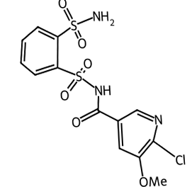 COc1cc(C(=O)NS(=O)(=O)c2ccccc2S(N)(=O)=O)cnc1Cl